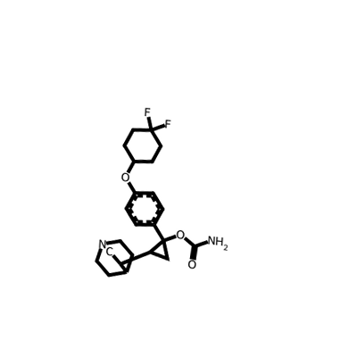 NC(=O)OC1(c2ccc(OC3CCC(F)(F)CC3)cc2)CC1C1CN2CCC1CC2